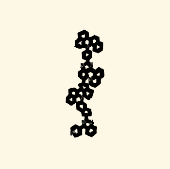 c1ccc2c3c(ccc2c1)-c1cccc2cccc(c12)N3c1ccc(-c2nc(-c3cccc4cccnc34)c3cc(-c4cc5c6c(cccc6c4)N(c4ccc6cc(-c7nc(-c8ccncc8)c8ccccc8n7)ccc6c4)c4c-5ccc5ccccc45)ccc3n2)cc1